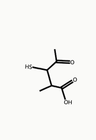 CC(=O)C(S)C(C)C(=O)O